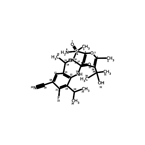 Cc1oc(S(C)(N)(=O)NC(=O)Nc2c(C(C)C)cc(C#N)c(F)c2C(C)C)cc1C(C)(C)O